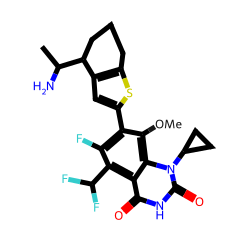 COc1c(-c2cc3c(s2)CCCC3C(C)N)c(F)c(C(F)F)c2c(=O)[nH]c(=O)n(C3CC3)c12